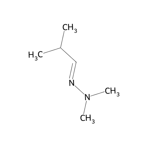 CC(C)/C=N/N(C)C